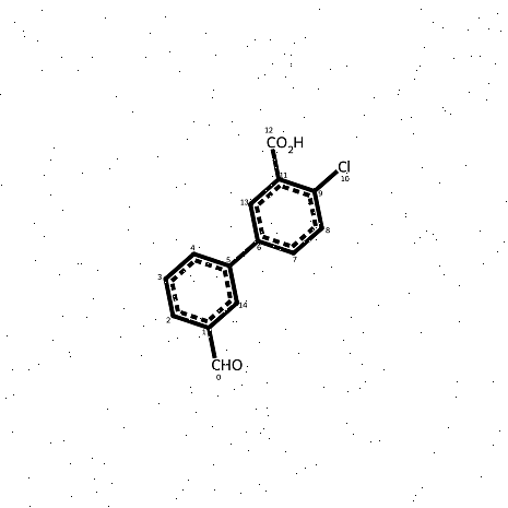 O=Cc1cccc(-c2ccc(Cl)c(C(=O)O)c2)c1